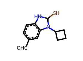 O=Cc1ccc2c(c1)N(C1CCC1)C(S)N2